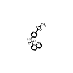 CC1OC(c2ccc(NS(=O)(=O)c3cccc4cccnc34)cc2)O1